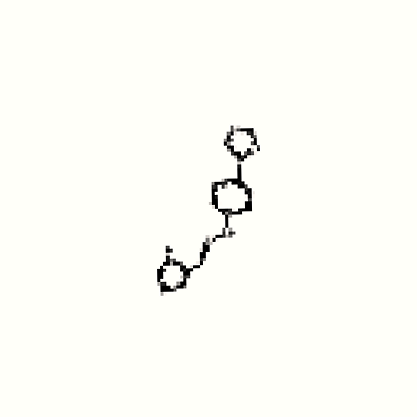 C(=NNc1ccc(-c2cnco2)cc1)c1ccc[nH]1